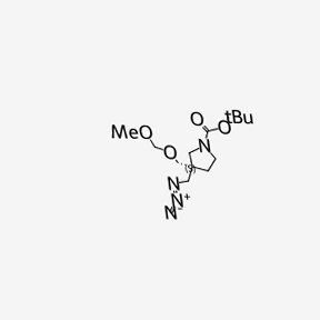 COCOC[C@@]1(CN=[N+]=[N-])CCN(C(=O)OC(C)(C)C)C1